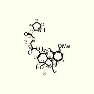 COc1ccc(C)c2c1O[C@H]1C(OC(=O)[C@H](C)OC(=O)[C@@H]3CCCN3)=CC[C@@]3(O)[C@@H](C)N(C)CC[C@]213